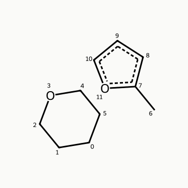 C1CCOCC1.Cc1ccco1